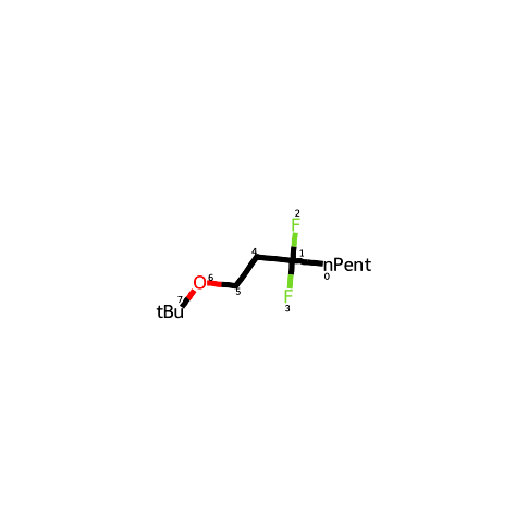 CCCCCC(F)(F)CCOC(C)(C)C